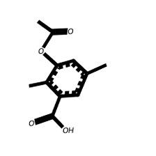 CC(=O)Oc1cc(C)cc(C(=O)O)c1C